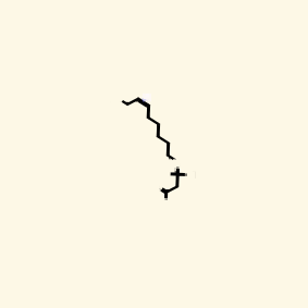 CC/C=C\CCCCCSC(C)(C)CC(C)=O